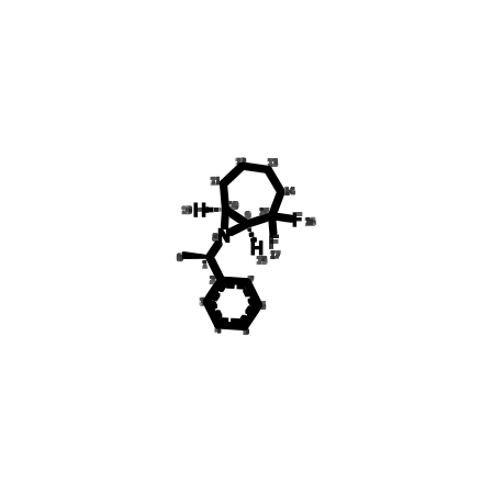 C[C@H](c1ccccc1)N1[C@H]2[C@@H]1CCCCC2(F)F